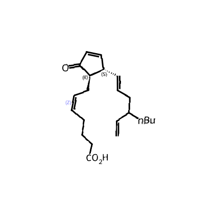 C=CC(CC=C[C@H]1C=CC(=O)[C@@H]1C/C=C\CCCC(=O)O)CCCC